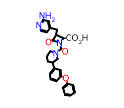 Nc1cc(CC2C(=O)N(C(=O)N3CCCC(c4cccc(Oc5ccccc5)c4)C3)[C@@H]2C(=O)O)ccn1